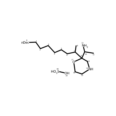 CCCCCCCCCCCCCCCCC(C)C1(C(C)N)CNCCO1.O=S(=O)(O)O